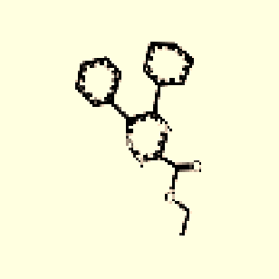 CCOC(=O)c1nnc(-c2ccccc2)c(-c2ccccc2)n1